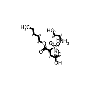 CCCCCOC(=O)C(CC(=O)O)S(=O)(=O)O.NCCO